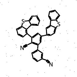 N#Cc1cccc(-c2cc(-c3ccc4sc5ccccc5c4c3)cc(-c3cccc4sc5ccccc5c34)c2C#N)c1